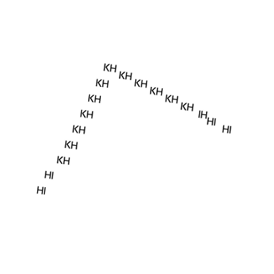 I.I.I.I.I.[KH].[KH].[KH].[KH].[KH].[KH].[KH].[KH].[KH].[KH].[KH].[KH]